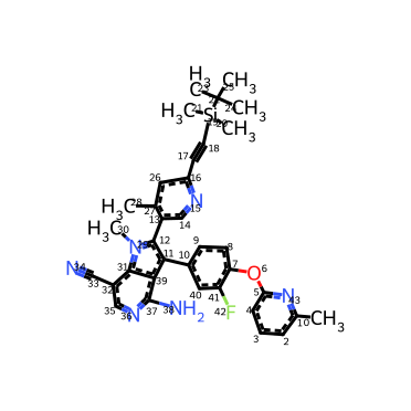 Cc1cccc(Oc2ccc(-c3c(-c4cnc(C#C[Si](C)(C)C(C)(C)C)cc4C)n(C)c4c(C#N)cnc(N)c34)cc2F)n1